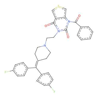 O=C(c1ccccc1)n1c(=O)n(CCN2CCC(=C(c3ccc(F)cc3)c3ccc(F)cc3)CC2)c(=O)c2cscc21